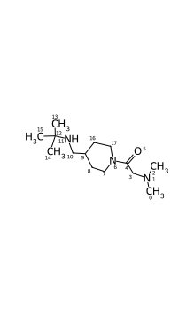 CN(C)CC(=O)N1CCC(CNC(C)(C)C)CC1